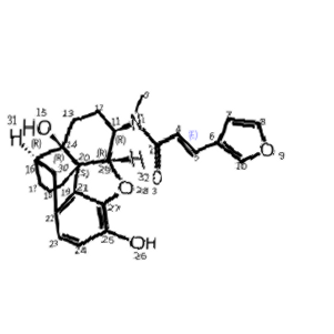 CN(C(=O)/C=C/c1ccoc1)[C@@H]1CC[C@@]2(O)[C@@H]3CCC[C@@]24c2c(ccc(O)c2O[C@@H]14)C3